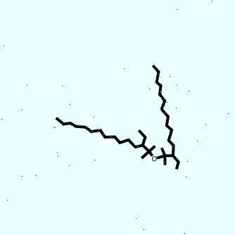 CCCCCCCCCCCCC(CC)C(C)(C)OC(C)(C)C(CC)CCCCCCCCCCCC